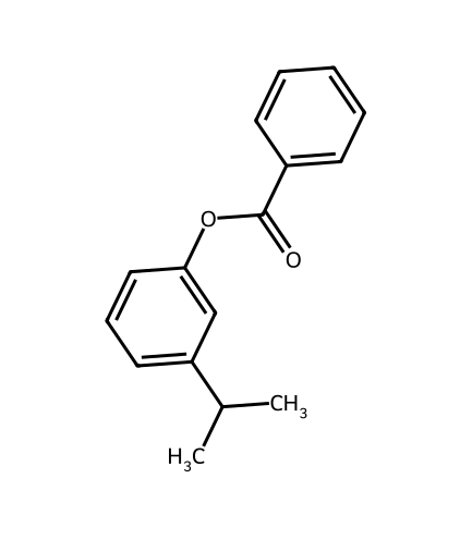 CC(C)c1cccc(OC(=O)c2ccccc2)c1